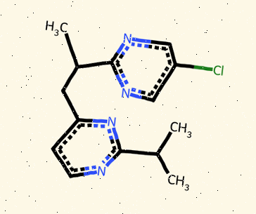 CC(C)c1nccc(CC(C)c2ncc(Cl)cn2)n1